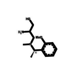 COc1ccccc1[C@H](C)N(C)CC(N)CO